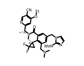 CCOc1cc([C@@H](C)N2C[C@@]3(CC3(F)F)c3c(CN(C)C)cc(Cn4ccnc4NC)cc3C2=O)ncc1C#N